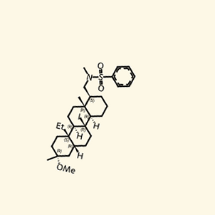 CC[C@]12CC[C@@](C)(OC)C[C@H]1CC[C@@]1(I)[C@@H]3CCC[C@H](CN(C)S(=O)(=O)c4ccccc4)[C@@]3(C)CC[C@@H]12